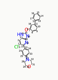 Clc1cc2[nH]c(Oc3cccc(-c4ccccc4)c3)nc2nc1-c1ccc(N2CCOCC2)cc1